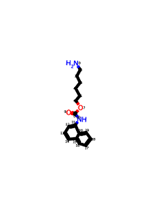 NCCCCCCOC(=O)Nc1cccc2ccccc12